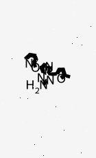 Cc1ccc(-c2nc(N)nc3c(Oc4ccccn4)cnn23)o1